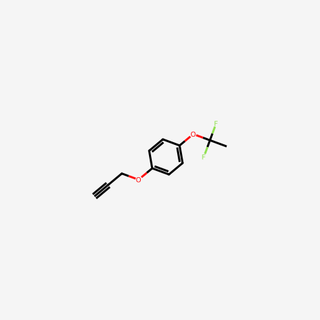 C#CCOc1ccc(OC(C)(F)F)cc1